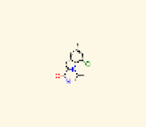 Cc1cc(Cl)c2c(c1)cc1n2C(C)CNC1=O